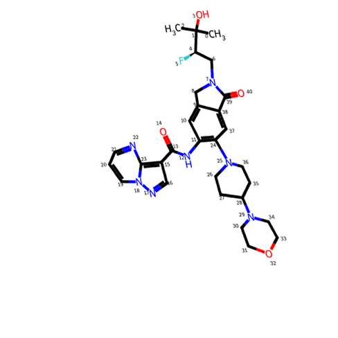 CC(C)(O)[C@H](F)CN1Cc2cc(NC(=O)c3cnn4cccnc34)c(N3CCC(N4CCOCC4)CC3)cc2C1=O